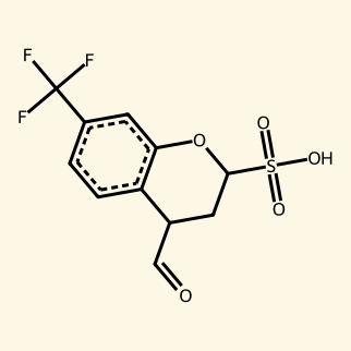 O=CC1CC(S(=O)(=O)O)Oc2cc(C(F)(F)F)ccc21